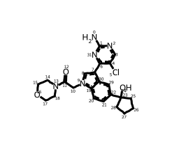 Nc1ncc(Cl)c(-c2cn(CC(=O)N3CCOCC3)c3ccc(C4(O)CCCC4)cc23)n1